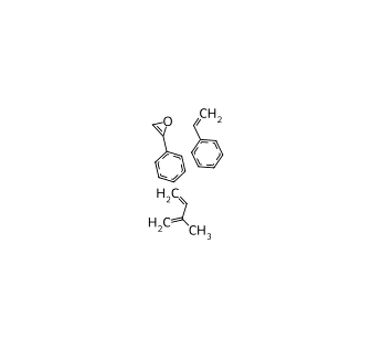 C1=C(c2ccccc2)O1.C=CC(=C)C.C=Cc1ccccc1